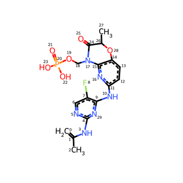 C=C(C)Nc1ncc(F)c(Nc2ccc3c(n2)N(COP(=O)(O)O)C(=O)C(C)O3)n1